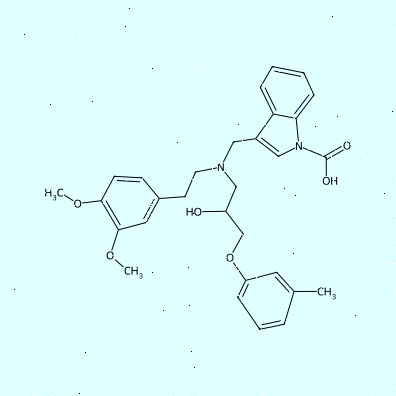 COc1ccc(CCN(Cc2cn(C(=O)O)c3ccccc23)CC(O)COc2cccc(C)c2)cc1OC